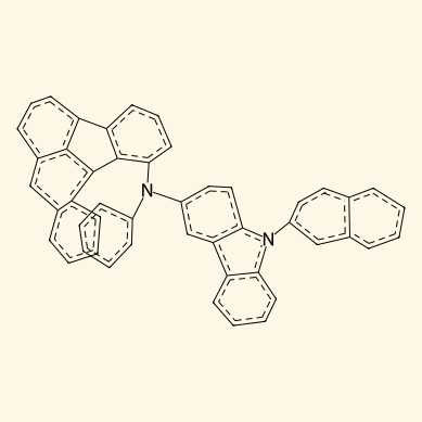 c1ccc(N(c2ccc3c(c2)c2ccccc2n3-c2ccc3ccccc3c2)c2cccc3c2-c2c4ccccc4cc4cccc-3c24)cc1